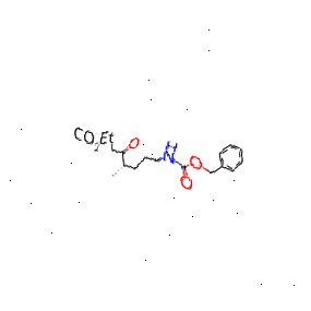 CCOC(=O)CC(=O)[C@@H](C)CCCNC(=O)OCc1ccccc1